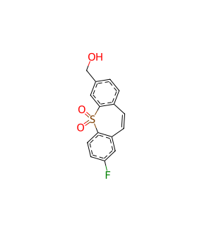 O=S1(=O)c2ccc(F)cc2C=Cc2ccc(CO)cc21